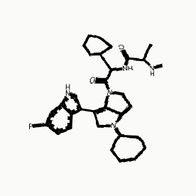 CNC(C)C(=O)NC(C(=O)N1CCC2C1=C(c1c[nH]c3cc(F)ccc13)CN2C1CCCCC1)C1CCCCC1